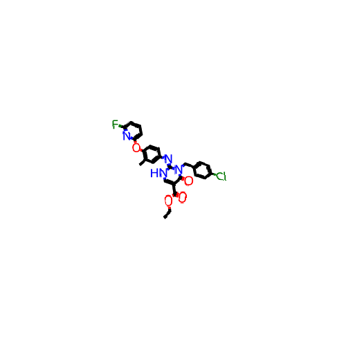 CCOC(=O)c1c[nH]/c(=N\c2ccc(Oc3cccc(F)n3)c(C)c2)n(Cc2ccc(Cl)cc2)c1=O